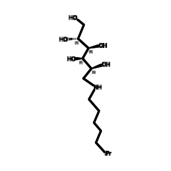 CC(C)CCCCCNC[C@H](O)[C@@H](O)[C@H](O)[C@H](O)CO